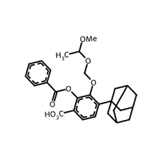 COC(C)OCOc1c(C23CC4CC(CC(C4)C2)C3)ccc(C(=O)O)c1OC(=O)c1ccccc1